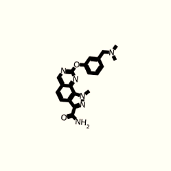 CN(C)Cc1cccc(Oc2ncc3ccc4c(C(N)=O)nn(C)c4c3n2)c1